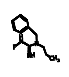 CCCN(Cc1ccccc1)C(=N)NF